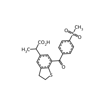 CC(C(=O)O)c1cc2c(c(C(=O)c3ccc(S(C)(=O)=O)cc3)c1)SCC2